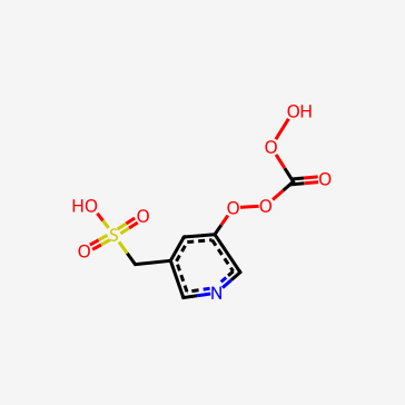 O=C(OO)OOc1cncc(CS(=O)(=O)O)c1